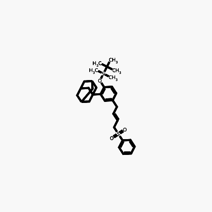 CC(C)(C)[Si](C)(C)Oc1ccc(CC=CCS(=O)(=O)c2ccccc2)cc1C12CC3CC(CC(C3)C1)C2